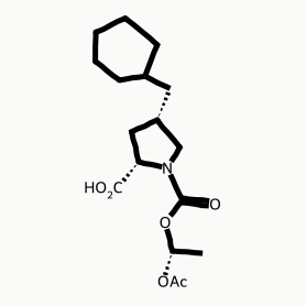 CC(=O)O[C@@H](C)OC(=O)N1C[C@@H](CC2CCCCC2)C[C@H]1C(=O)O